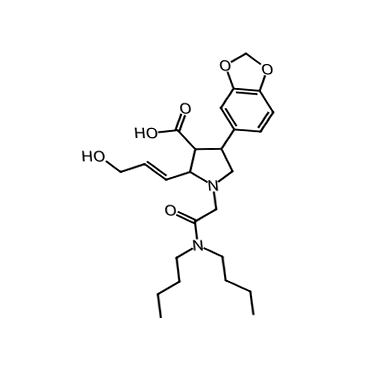 CCCCN(CCCC)C(=O)CN1CC(c2ccc3c(c2)OCO3)C(C(=O)O)C1/C=C/CO